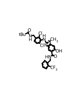 Cn1c(Nc2c(Cl)ccc(CNC(=O)C(C)(C)C)c2Cl)nc2cc(C(=O)NCc3ccccc3C(F)(F)F)c(O)cc21